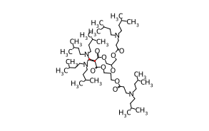 CC(C)CCN(CCC(=O)OCC(COC(=O)CCN(CCC(C)C)CCC(C)C)OC(COC(=O)CCN(CCC(C)C)CCC(C)C)COC(=O)CCN(CCC(C)C)CCC(C)C)CCC(C)C